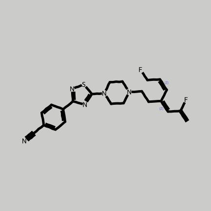 C=C(F)/C=C(\C=C/CF)CCN1CCN(c2nc(-c3ccc(C#N)cc3)ns2)CC1